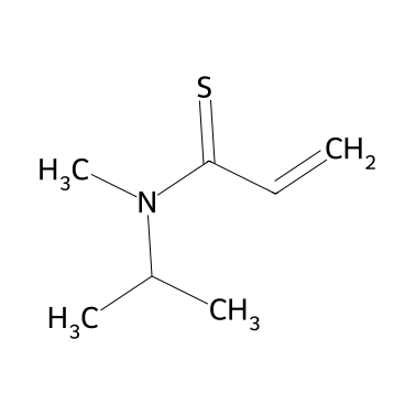 C=CC(=S)N(C)C(C)C